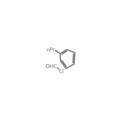 CCCc1ccccc1.O=CCl